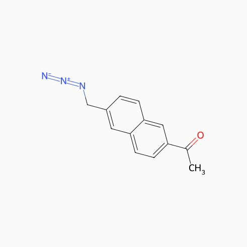 CC(=O)c1ccc2cc(CN=[N+]=[N-])ccc2c1